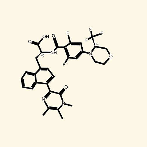 Cc1nc(-c2ccc(C[C@H](NC(=O)c3c(F)cc(N4CCOC[C@@H]4C(F)(F)F)cc3F)C(=O)O)c3ccccc23)c(=O)n(C)c1C